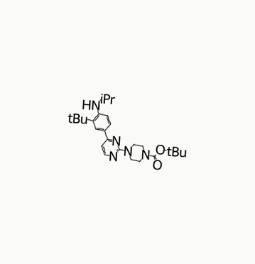 CC(C)Nc1ccc(-c2ccnc(N3CCN(C(=O)OC(C)(C)C)CC3)n2)cc1C(C)(C)C